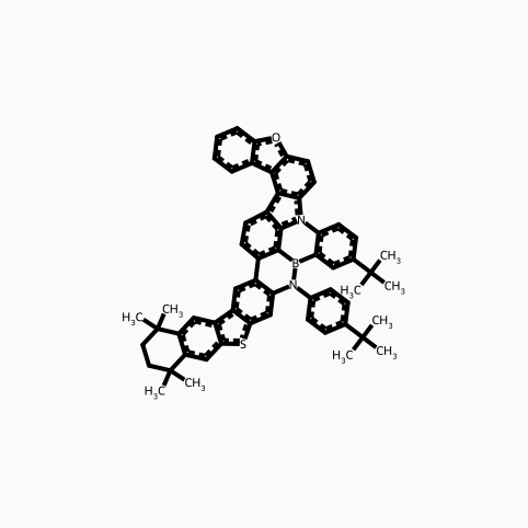 CC(C)(C)c1ccc(N2B3c4cc(C(C)(C)C)ccc4-n4c5ccc6oc7ccccc7c6c5c5ccc(c3c54)-c3cc4c(cc32)sc2cc3c(cc24)C(C)(C)CCC3(C)C)cc1